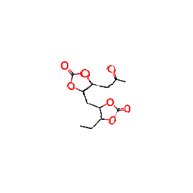 CCC1OC(=O)OC1CC1OC(=O)OC1CC(C)=O